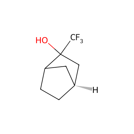 OC1(C(F)(F)F)C[C@H]2CCC1C2